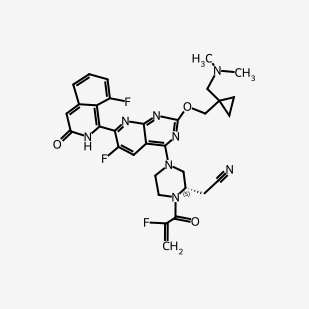 C=C(F)C(=O)N1CCN(c2nc(OCC3(CN(C)C)CC3)nc3nc(-c4[nH]c(=O)cc5cccc(F)c45)c(F)cc23)C[C@@H]1CC#N